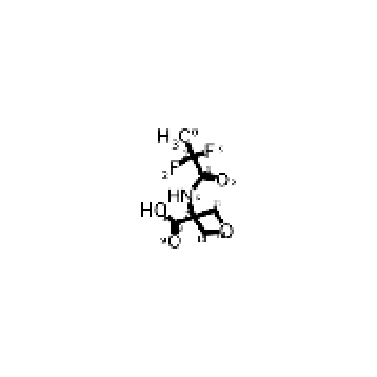 CC(F)(F)C(=O)NC1(C(=O)O)COC1